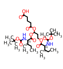 CC[C@H](C)[C@H](NC(=O)OC(C)(C)C)C(=O)OCCC(OC(=O)CCCC(=O)O)OC(=O)[C@@H](NC(=O)OC(C)(C)C)[C@@H](C)CC